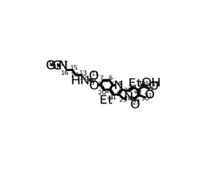 CCc1c2c(nc3ccc(OC(=O)NCCCCN=C=O)cc13)-c1cc3c(c(=O)n1C2)COC(=O)C3(O)CC